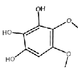 COc1cc(O)c(O)c(O)c1OC